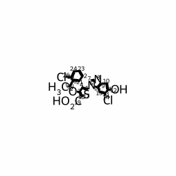 C[C@@H](Oc1cc(-n2cnc3cc(O)c(Cl)cc32)sc1C(=O)O)c1ccccc1Cl